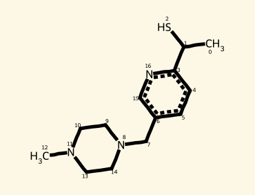 CC(S)c1ccc(CN2CCN(C)CC2)cn1